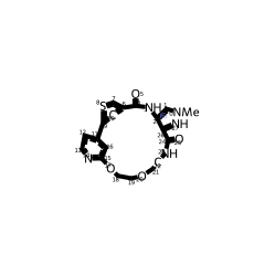 CN/C=C1/NC(=O)c2csc(c2)-c2ccnc(c2)OCCOCCNC(=O)C1=N